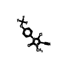 Cn1c(C#N)c(Cl)n(-c2ccc(OC(F)(F)F)cc2)c1=O